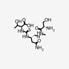 CC(O)[C@H](NC(=S)N[C@H](CNN(C)C(=O)[C@@H](N)CO)CC(N)=O)C(=O)O